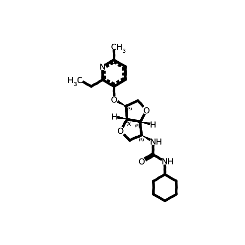 CCc1nc(C)ccc1O[C@H]1CO[C@H]2[C@@H]1OC[C@@H]2NC(=O)NC1CCCCC1